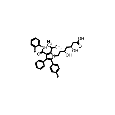 CC(C)c1c(C(=O)Nc2ccccc2F)c(-c2ccccc2)c(-c2ccc(F)cc2)n1CC[C@@H](O)C[C@@H](O)CC(=O)O